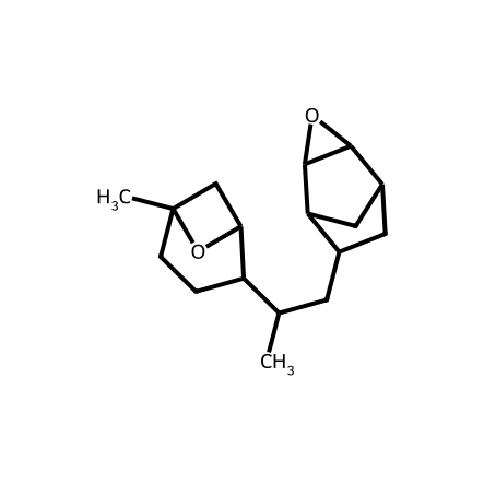 CC(CC1CC2CC1C1OC21)C1CCC2(C)CC1O2